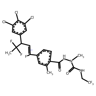 Cc1cc(/C(F)=C/C(c2cc(Cl)c(Cl)c(Cl)c2)C(C)(F)F)ccc1C(=O)NN(C)C(=O)NCC(F)(F)F